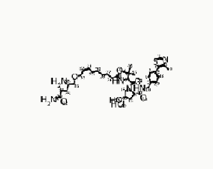 Cc1ncsc1-c1ccc(CNC(=O)[C@@H]2C[C@@H](O)CN2C(=O)[C@@H](NC(=O)CCCCC/C=C\COC[C@@H](N)CCC(N)=O)C(C)(C)C)cc1.Cl